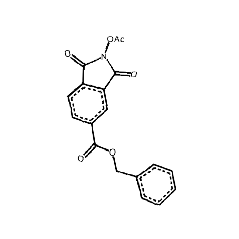 CC(=O)ON1C(=O)c2ccc(C(=O)OCc3ccccc3)cc2C1=O